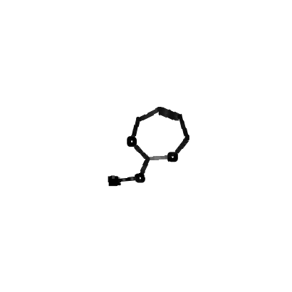 CCOC1OCC=CCO1